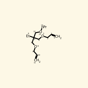 C=CCOCC(CC)(COCC=C)COCCC